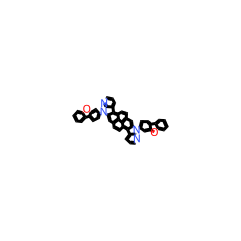 c1ccc2c(c1)oc1cc(-n3c4cc5ccc6c7c(ccc(c57)c4c4cccnc43)cc3c6c4cccnc4n3-c3ccc4c(c3)oc3ccccc34)ccc12